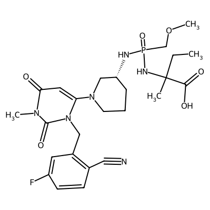 CCC(C)(NP(=O)(COC)N[C@@H]1CCCN(c2cc(=O)n(C)c(=O)n2Cc2cc(F)ccc2C#N)C1)C(=O)O